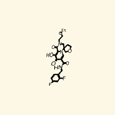 CCOCCN1CC2(CCOC2)n2cc(C(=O)NCc3ccc(F)cc3F)c(=O)c(O)c2C1=O